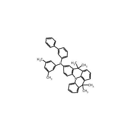 Cc1cc(C)cc(N(c2cccc(-c3ccccc3)c2)c2ccc3c(c2)C(C)(C)c2cccc4c2N3c2ccccc2C4(C)C)c1